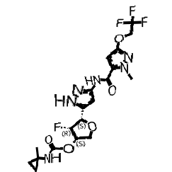 Cn1nc(OCC(F)(F)F)cc1C(=O)Nc1cc([C@@H]2OC[C@H](OC(=O)NC3(C)CC3)[C@@H]2F)[nH]n1